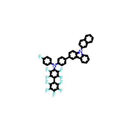 Fc1ccc(N(c2ccc(-c3ccc4c(c3)c3ccccc3n4-c3ccc4ccccc4c3)cc2)c2c(F)c(F)c(-c3c(F)c(F)c(F)c(F)c3F)c(F)c2F)cc1